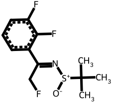 CC(C)(C)[S+]([O-])N=C(CF)c1cccc(F)c1F